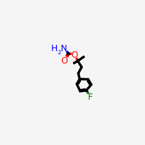 CC(C)(CCc1ccc(F)cc1)OC(N)=O